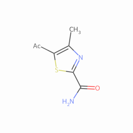 CC(=O)c1sc(C(N)=O)nc1C